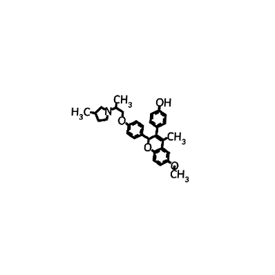 COc1ccc2c(c1)C(C)=C(c1ccc(O)cc1)C(c1ccc(OCC(C)N3CCC(C)C3)cc1)O2